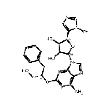 CCn1nnnc1[C@H]1O[C@@H](n2cnc3c(N)nc(O[C@H](CO)Cc4ccccc4)nc32)C(O)C1O